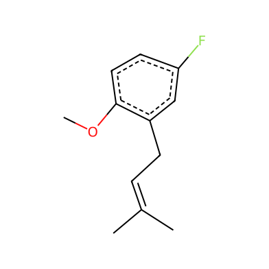 COc1ccc(F)cc1CC=C(C)C